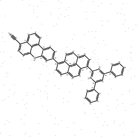 N#Cc1ccc2c3c(cccc13)-c1ccc(-c3ccc4ccc5c(-c6nc(-c7ccccc7)cc(-c7ccccc7)n6)ccc6ccc3c4c65)cc1O2